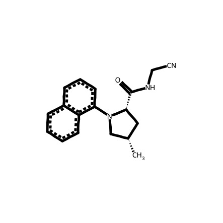 C[C@H]1C[C@@H](C(=O)NCC#N)N(c2cccc3ccccc23)C1